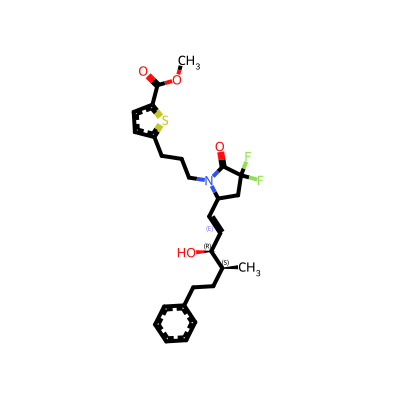 COC(=O)c1ccc(CCCN2C(=O)C(F)(F)CC2/C=C/[C@H](O)[C@@H](C)CCc2ccccc2)s1